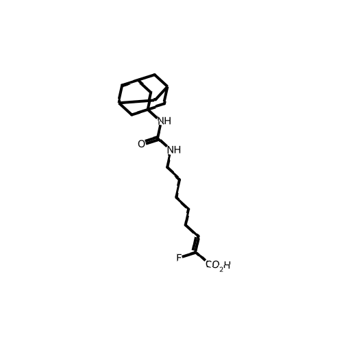 O=C(NCCCCCC=C(F)C(=O)O)NC12CC3CC(CC(C3)C1)C2